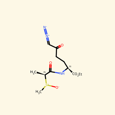 CCOC(=O)[C@H](CCC(=O)C=[N+]=[N-])NC(=O)[C@H](C)[S+](C)[O-]